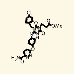 COC(=O)CCn1c(=O)[nH]/c(=N\c2ccc(Oc3ccc(C(N)=O)nn3)cc2)n(Cc2ccc(Cl)cc2)c1=O